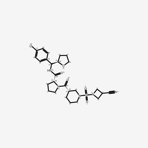 N#CC1CN(S(=O)(=O)N2CCC[C@H](C(=O)N3CCC[C@@H]3C(=O)NC(c3ccc(Cl)cc3)[C@H]3CCCO3)C2)C1